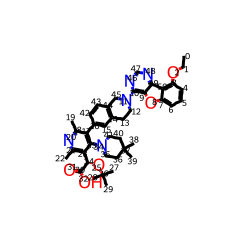 CCOc1cccc2oc3c(N4CCc5cc(-c6c(C)nc(C)c([C@H](OC(C)(C)C)C(=O)O)c6N6CCC(C)(C)CC6)ccc5C4)ncnc3c12